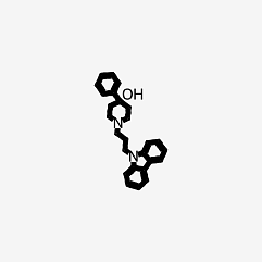 OC1(c2ccccc2)CCN(CCCn2c3ccccc3c3ccccc32)CC1